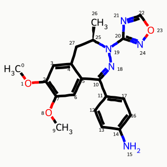 COc1cc2c(cc1OC)C(c1ccc(N)cc1)=NN(c1ncon1)[C@H](C)C2